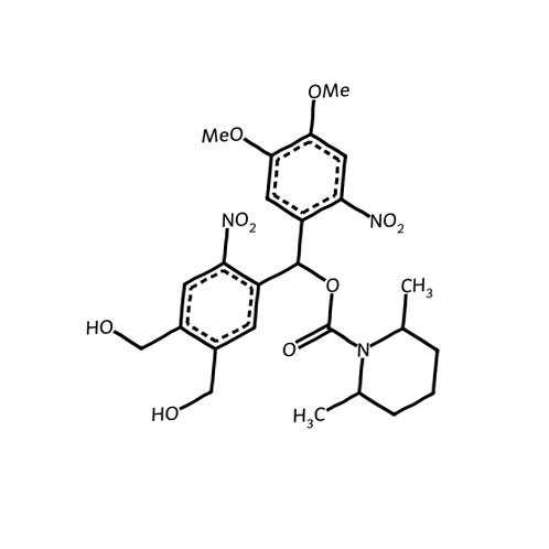 COc1cc(C(OC(=O)N2C(C)CCCC2C)c2cc(CO)c(CO)cc2[N+](=O)[O-])c([N+](=O)[O-])cc1OC